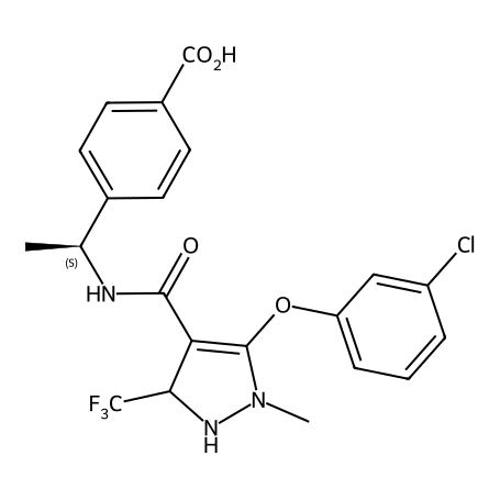 C[C@H](NC(=O)C1=C(Oc2cccc(Cl)c2)N(C)NC1C(F)(F)F)c1ccc(C(=O)O)cc1